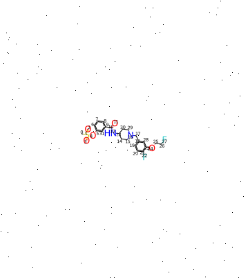 CS(=O)(=O)Oc1cccc(C(=O)NC2CCN(Cc3ccc(F)c(OCCF)c3)CC2)c1